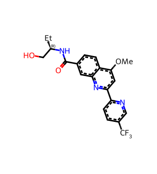 CC[C@H](CO)NC(=O)c1ccc2c(OC)cc(-c3ccc(C(F)(F)F)cn3)nc2c1